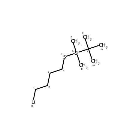 [Li][CH2]CCCS[Si](C)(C)C(C)(C)C